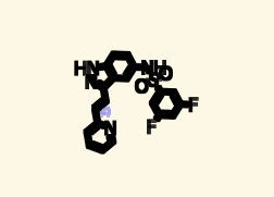 O=S(=O)(Nc1ccc2[nH]nc(/C=C/c3ccccn3)c2c1)c1cc(F)cc(F)c1